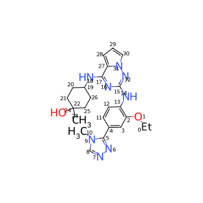 CCOc1cc(-c2nncn2C)ccc1Nc1nc(NC2CCC(C)(O)CC2)c2cccn2n1